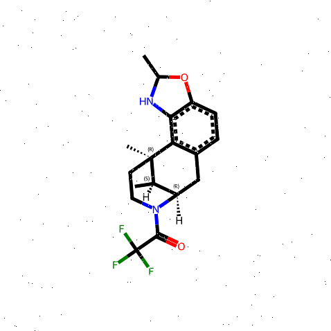 CC1Nc2c(ccc3c2[C@]2(C)CCN(C(=O)C(F)(F)F)[C@H](C3)[C@H]2C)O1